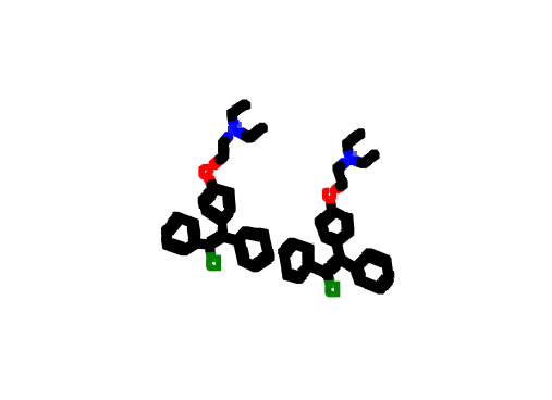 CCN(CC)CCOc1ccc(/C(=C(/Cl)c2ccccc2)c2ccccc2)cc1.CCN(CC)CCOc1ccc(/C(=C(/Cl)c2ccccc2)c2ccccc2)cc1